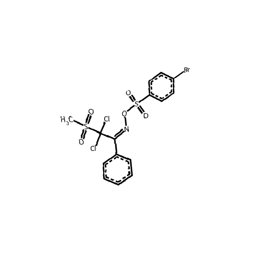 CS(=O)(=O)C(Cl)(Cl)C(=NOS(=O)(=O)c1ccc(Br)cc1)c1ccccc1